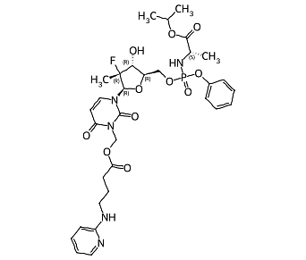 CC(C)OC(=O)[C@H](C)NP(=O)(OC[C@H]1O[C@@H](n2ccc(=O)n(COC(=O)CCCNc3ccccn3)c2=O)[C@](C)(F)[C@@H]1O)Oc1ccccc1